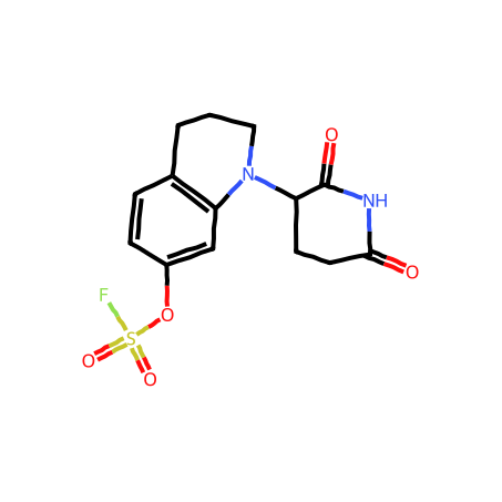 O=C1CCC(N2CCCc3ccc(OS(=O)(=O)F)cc32)C(=O)N1